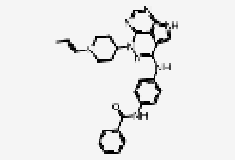 CC=CN1CCC(N2N=C(Nc3ccc(NC(=O)c4ccccc4)cc3)c3c[nH]c4ncnc2c34)CC1